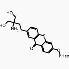 CCCCCCOc1ccc2c(=O)c3cc(CCC(N)(CO)CO)ccc3sc2c1